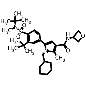 Cc1c(C(=O)NC2COC2)cc(-c2ccc(S(=O)(=O)N(C)C(C)(C)C)c(C(C)(C)C)c2)n1CC1CCCCC1